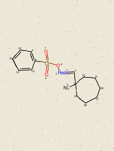 N#CC1(/C=N/OS(=O)(=O)c2ccccc2)CCCCCC1